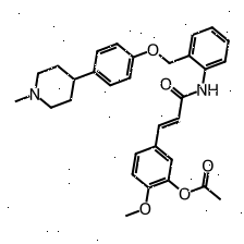 COc1ccc(/C=C/C(=O)Nc2ccccc2COc2ccc(C3CCN(C)CC3)cc2)cc1OC(C)=O